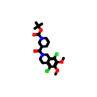 COc1c(Cl)c2c(c(Cl)c1OC)CN(C(=O)C1CCCN(C(=O)OC(C)(C)C)C1)CC2